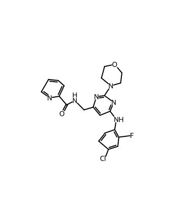 O=C(NCc1cc(Nc2ccc(Cl)cc2F)nc(N2CCOCC2)n1)c1ccccn1